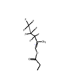 CCC(=O)O/C=C(\O)C(F)(F)C(F)(F)C(F)(F)F